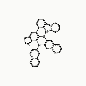 c1ccc2cc(N3c4cc5ccccc5cc4B4c5c(cc6ccsc6c53)-c3cccc5c6ccccc6n4c35)ccc2c1